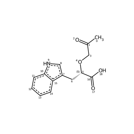 CC(=O)CO[C@@H](Cc1c[nH]c2ccccc12)C(=O)O